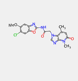 COc1cc2nc(NC(=O)Cn3cnc4c3c(C)cc(=O)n4C)oc2cc1Cl